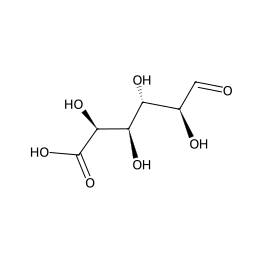 O=C[C@@H](O)[C@@H](O)[C@@H](O)[C@H](O)C(=O)O